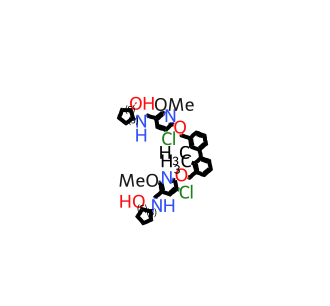 COc1nc(OCc2cccc(-c3cccc(COc4nc(OC)c(CN[C@H]5CCC[C@@H]5O)cc4Cl)c3C)c2C)c(Cl)cc1CN[C@H]1CCC[C@@H]1O